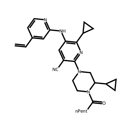 C=Cc1ccnc(Nc2cc(C#N)c(N3CCN(C(=O)CCCCC)C(C4CC4)C3)nc2C2CC2)c1